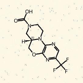 O=C(O)N1CCN2c3ncc(C(F)(F)F)nc3OC[C@@H]2C1